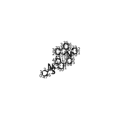 c1ccc(-c2nc3c(s2)-c2ccc(-c4cccc(N(c5ccccc5)c5cc6ccccc6c6ccccc56)c4)c4cccc-3c24)cc1